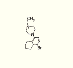 CCN1CCN(c2ccc(Br)c3c2CCCC3)CC1